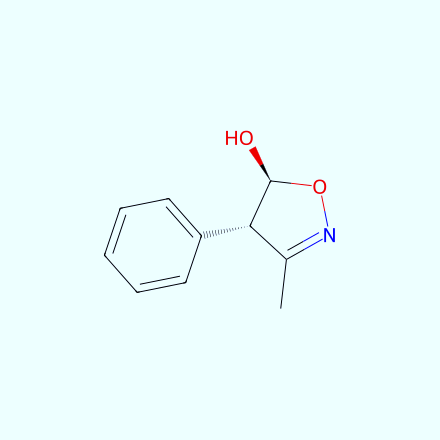 CC1=NO[C@H](O)[C@H]1c1ccccc1